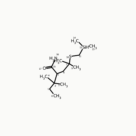 CCC(C)(C)C(CC(C)(C)SC[SiH](C)C)C(N)=O